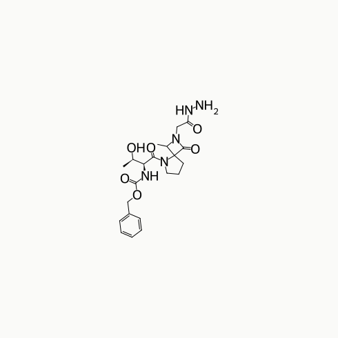 CC1N(CC(=O)NN)C(=O)C12CCCN2C(=O)[C@@H](NC(=O)OCc1ccccc1)[C@@H](C)O